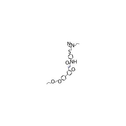 CCCOCCOc1ccc(-c2ccc(OC)c(/C=C/C(=O)Nc3ccc(SCc4cncn4CCC)cc3)c2)cc1